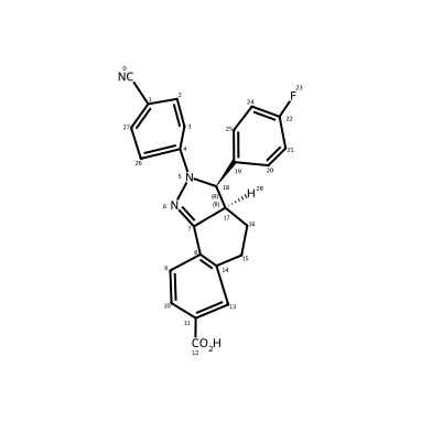 N#Cc1ccc(N2N=C3c4ccc(C(=O)O)cc4CC[C@@H]3[C@@H]2c2ccc(F)cc2)cc1